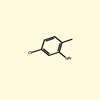 [CH2]CCc1cc(Cl)ccc1C